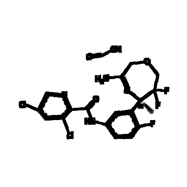 C[C@]1(c2cc(NC(=O)c3ncc(Cl)cc3Cl)ccc2F)N=C(N)COCC1(F)F.O=CO